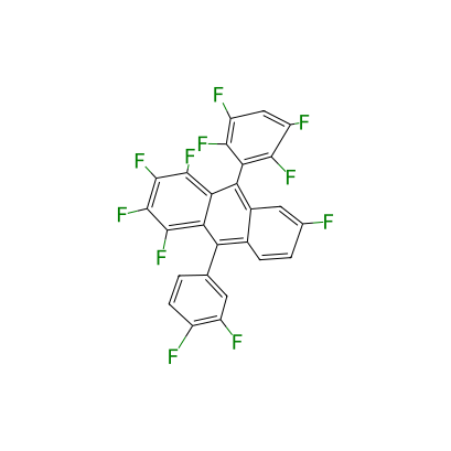 Fc1ccc2c(-c3ccc(F)c(F)c3)c3c(F)c(F)c(F)c(F)c3c(-c3c(F)c(F)cc(F)c3F)c2c1